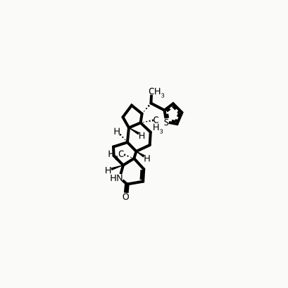 CC(c1cccs1)[C@H]1CC[C@H]2[C@@H]3CC[C@H]4NC(=O)C=C[C@]4(C)[C@H]3CC[C@]12C